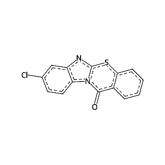 O=c1c2ccccc2sc2nc3cc(Cl)ccc3n12